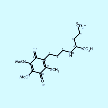 COC1=C(OC)C(=O)C(CCCNC(CCC(=O)O)C(=O)O)=C(C)C1=O